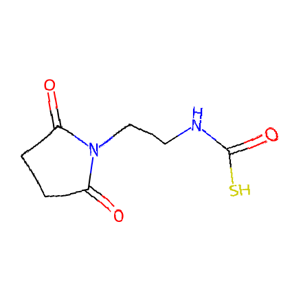 O=C(S)NCCN1C(=O)CCC1=O